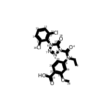 CCN(C(=O)n1nnn(-c2c(Cl)cccc2Cl)c1=O)c1ccc(C(=O)O)c(OC)c1